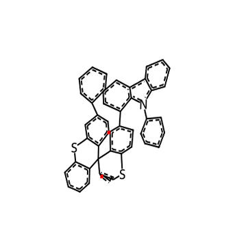 c1ccc(-c2ccc3c(c2)Sc2ccccc2C32c3ccccc3Sc3ccc(-c4cccc5c6ccccc6n(-c6ccccc6)c45)cc32)cc1